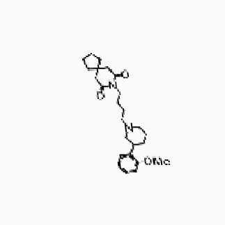 COc1ccccc1C1CCCN(CCCCN2C(=O)CC3(CCCC3)CC2=O)C1